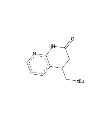 CC(C)(C)CC1CC(=O)Nc2ncccc21